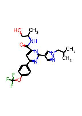 CC(C)Cn1cc(-c2nc(C(=O)NC(C)CO)cc(-c3ccc(OC(F)(F)F)cc3)n2)cn1